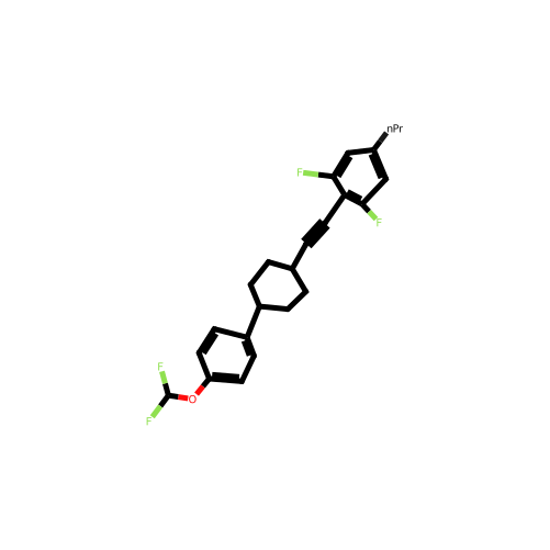 CCCc1cc(F)c(C#CC2CCC(c3ccc(OC(F)F)cc3)CC2)c(F)c1